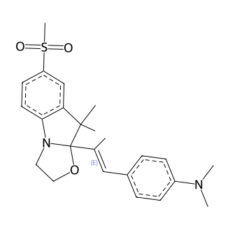 C/C(=C\c1ccc(N(C)C)cc1)C12OCCN1c1ccc(S(C)(=O)=O)cc1C2(C)C